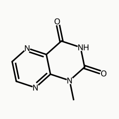 Cn1c(=O)[nH]c(=O)c2nccnc21